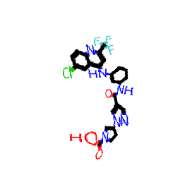 O=C(N[C@@H]1CCC[C@H](Nc2cc(C(F)(F)F)nc3ccc(Cl)cc23)C1)c1cnn([C@H]2CCN(C(=O)O)C2)c1